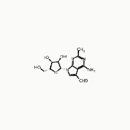 Cc1nc(N)c2c(C=O)cn([C@@H]3O[C@H](CO)[C@@H](O)[C@H]3O)c2n1